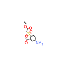 C=COC(=O)CS(=O)(=O)c1ccc(N)cc1C(C)=O